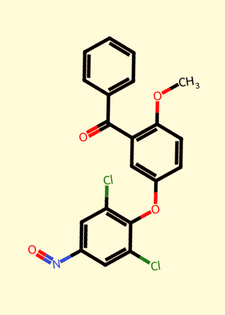 COc1ccc(Oc2c(Cl)cc(N=O)cc2Cl)cc1C(=O)c1ccccc1